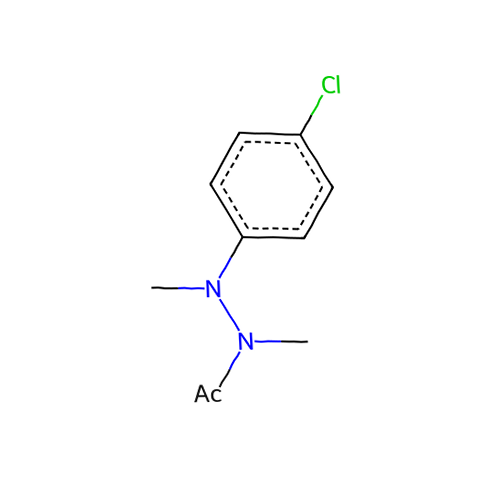 CC(=O)N(C)N(C)c1ccc(Cl)cc1